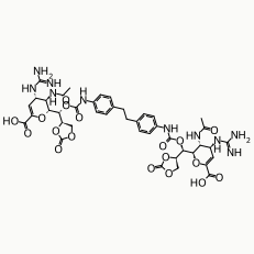 CC(=O)N[C@H]1[C@H]([C@H](OC(=O)Nc2ccc(CCc3ccc(NC(=O)O[C@@H]([C@@H]4OC(C(=O)O)=C[C@H](NC(=N)N)[C@H]4NC(C)=O)[C@H]4COC(=O)O4)cc3)cc2)[C@H]2COC(=O)O2)OC(C(=O)O)=C[C@@H]1NC(=N)N